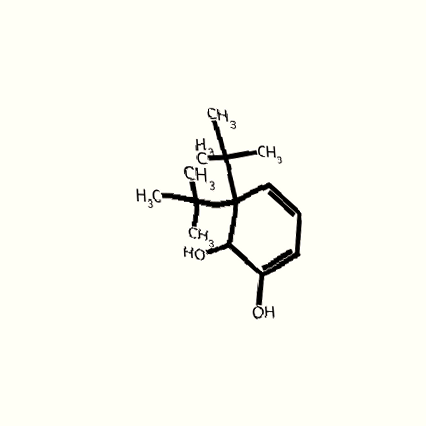 CC(C)(C)C1(C(C)(C)C)C=CC=C(O)C1O